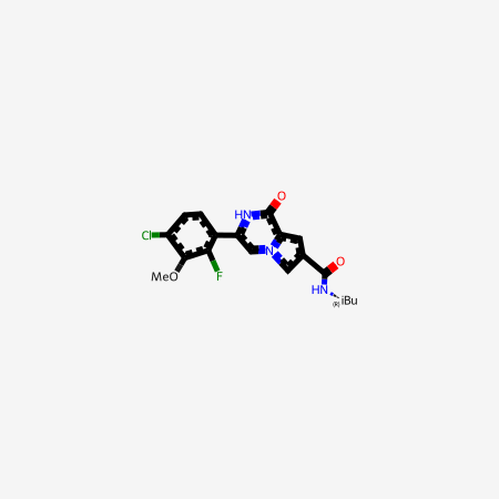 CC[C@@H](C)NC(=O)c1cc2c(=O)[nH]c(-c3ccc(Cl)c(OC)c3F)cn2c1